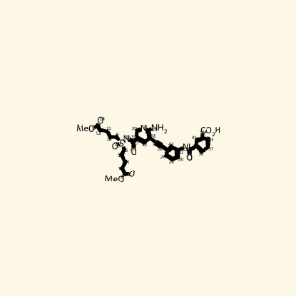 COC(=O)CCCCS(=O)(CCCCC(=O)OC)=NC(=O)c1cnc(N)c(C#Cc2cccc(NC(=O)c3cccc(C(=O)O)c3)c2)c1